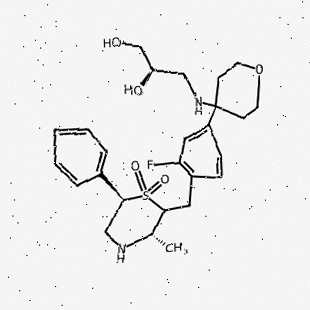 C[C@@H]1NC[C@@H](c2ccccc2)S(=O)(=O)C1Cc1ccc(C2(NC[C@@H](O)CO)CCOCC2)cc1F